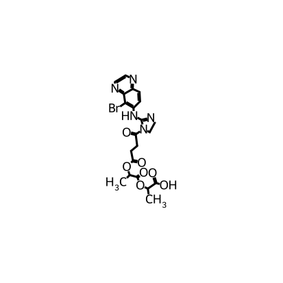 CC(OC(=O)C(C)OC(=O)CCC(=O)N1CCN=C1Nc1ccc2nccnc2c1Br)C(=O)O